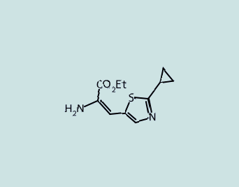 CCOC(=O)/C(N)=C\c1cnc(C2CC2)s1